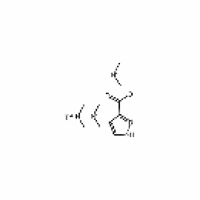 C[N-]C.C[N-]C.C[N-]C.O=C([O-])c1cc[nH]n1.[Ti+4]